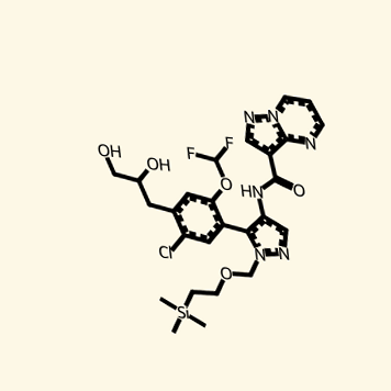 C[Si](C)(C)CCOCn1ncc(NC(=O)c2cnn3cccnc23)c1-c1cc(Cl)c(CC(O)CO)cc1OC(F)F